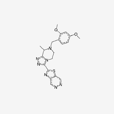 COc1ccc(CN2CCn3c(-c4nc5cnncc5s4)nnc3C2C)c(OC)c1